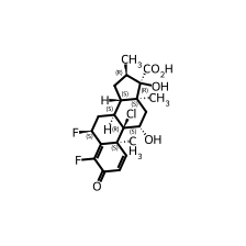 C[C@@H]1C[C@H]2[C@@H]3C[C@H](F)C4=C(F)C(=O)C=C[C@]4(C)[C@@]3(Cl)[C@@H](O)C[C@]2(C)[C@@]1(O)C(=O)O